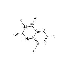 Cc1cc(I)c2[nH]c(=S)n(C)c(=O)c2c1